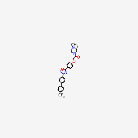 CN1CCN(C(=O)COc2ccc(-c3nc(-c4ccc(-c5ccc(C(F)(F)F)cc5)cc4)no3)cc2)CC1